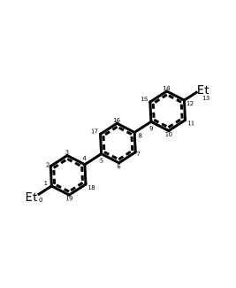 CCc1ccc(-c2ccc(-c3ccc(CC)cc3)cc2)cc1